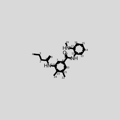 C=C(CCC)Nc1cc(C(=O)Nc2ccccc2NC)cc(C)c1C